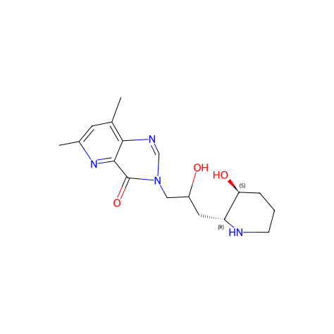 Cc1cc(C)c2ncn(CC(O)C[C@H]3NCCC[C@@H]3O)c(=O)c2n1